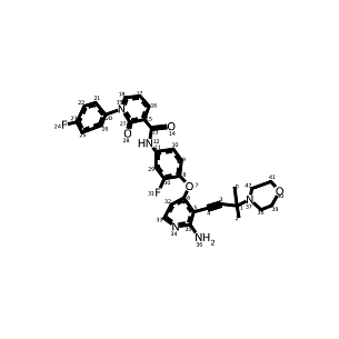 CC(C)(C#Cc1c(Oc2ccc(NC(=O)c3cccn(-c4ccc(F)cc4)c3=O)cc2F)ccnc1N)N1CCOCC1